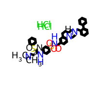 CN(C)CC[C@H](CSc1ccccc1)Nc1ccc(S(=O)(=O)NC(=O)c2ccc3c(c2)CC[C@H]2CN(Cc4ccccc4-c4ccccc4)CCN32)cc1[N+](=O)[O-].Cl.Cl